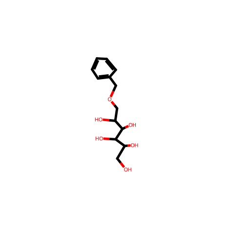 OCC(O)C(O)C(O)C(O)COCc1ccccc1